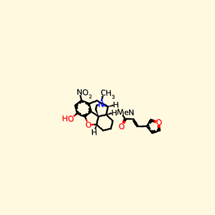 CN1CC[C@]23c4c5c([N+](=O)[O-])cc(O)c4O[C@H]2CCC[C@H]3[C@H]1C5.CNC(=O)/C=C/c1ccoc1